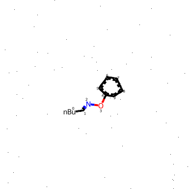 CCCC/C=N/Oc1ccccc1